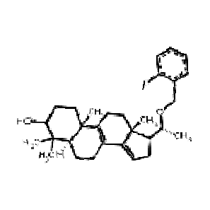 C[C@@H](OCc1ccccc1F)[C@H]1CC=C2C3=C(CC[C@@]21C)[C@@]1(C)CC[C@H](O)C(C)(C)[C@@H]1CC3